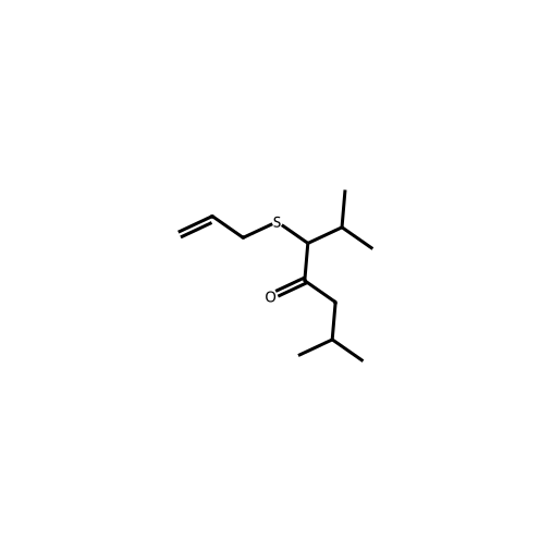 C=CCSC(C(=O)CC(C)C)C(C)C